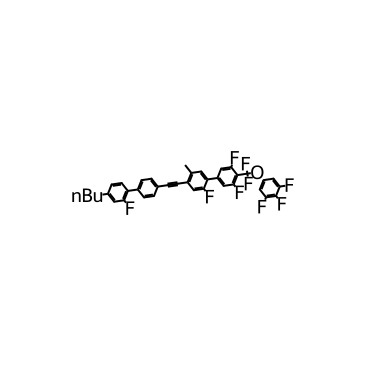 CCCCc1ccc(-c2ccc(C#Cc3cc(F)c(-c4cc(F)c(C(F)(F)Oc5cc(F)c(F)c(F)c5)c(F)c4)cc3C)cc2)c(F)c1